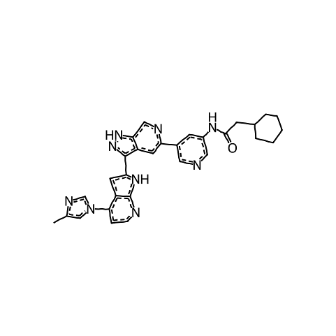 Cc1cn(-c2ccnc3[nH]c(-c4n[nH]c5cnc(-c6cncc(NC(=O)CC7CCCCC7)c6)cc45)cc23)cn1